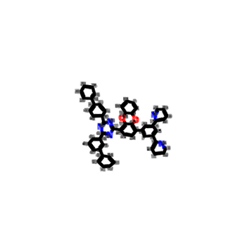 C1=CC2Oc3c(-c4cc(-c5ccccn5)cc(-c5ccccn5)c4)ccc(-c4nc(-c5ccc(-c6ccccc6)cc5)nc(-c5cccc(-c6ccccc6)c5)n4)c3OC2C=C1